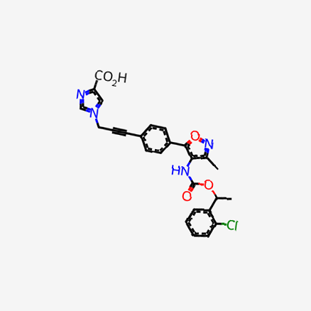 Cc1noc(-c2ccc(C#CCn3cnc(C(=O)O)c3)cc2)c1NC(=O)OC(C)c1ccccc1Cl